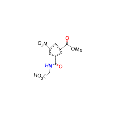 COC(=O)c1cc(C(=O)NCC(=O)O)cc([N+](=O)[O-])c1